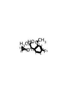 COc1cc(F)ccc1[C@H](OC1CC1)[C@H](C)O